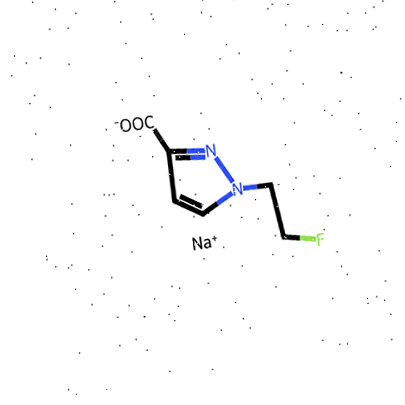 O=C([O-])c1ccn(CCF)n1.[Na+]